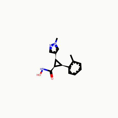 Cc1ccccc1[C@H]1[C@@H](C(=O)NO)[C@@H]1c1cnn(C)c1